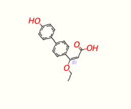 CCO/C(=C/C(=O)O)c1ccc(-c2ccc(O)cc2)cc1